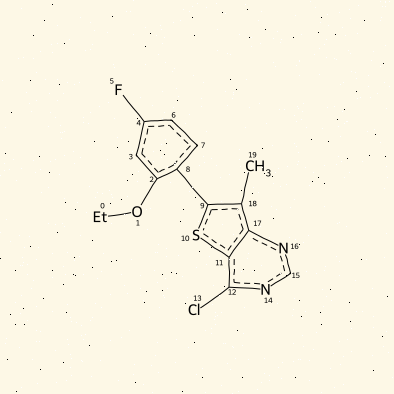 CCOc1cc(F)ccc1-c1sc2c(Cl)ncnc2c1C